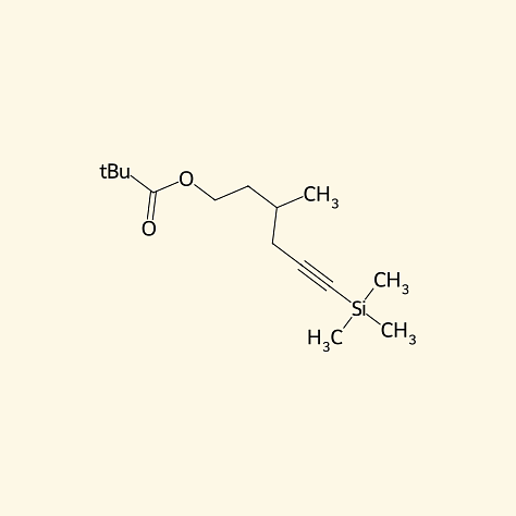 CC(CC#C[Si](C)(C)C)CCOC(=O)C(C)(C)C